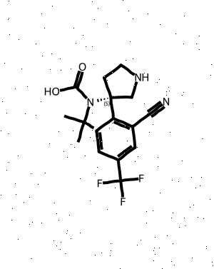 CC(C)(C)N(C(=O)O)[C@]1(c2ccc(C(F)(F)F)cc2C#N)CCNC1